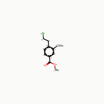 COc1cc(C(=O)OC(C)(C)C)ccc1CCBr